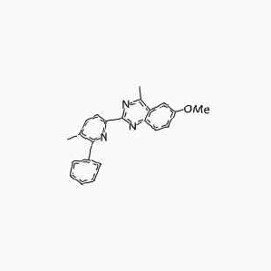 COc1ccc2nc(-c3ccc(C)c(-c4ccccc4)n3)nc(C)c2c1